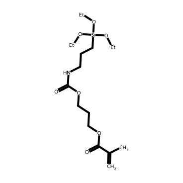 C=C(C)C(=O)OCCCOC(=O)NCCC[Si](OCC)(OCC)OCC